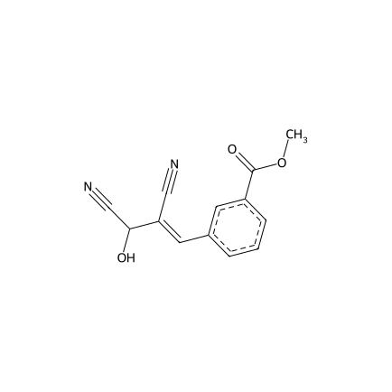 COC(=O)c1cccc(/C=C(\C#N)C(O)C#N)c1